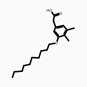 CCCCCCCCCCOc1cc(CC(=O)O)cc(C)c1C